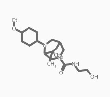 CCOC1CCC(N2CC3CN(C(=O)NCCO)CC2C(C)(C)C3)CC1